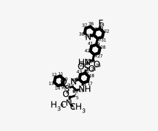 CN(C)C(=O)C[C@H](CSc1ccccc1)Nc1ccc(S(=O)(=O)NC(=O)c2ccc(-c3ccc(F)c4cccnc34)cc2)cc1[N+](=O)[O-]